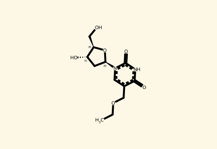 CCOCc1cn([C@H]2C[C@H](O)[C@@H](CO)O2)c(=O)[nH]c1=O